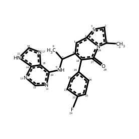 Cc1csc2cc(C(C)Nc3ncnc4[nH]cnc34)c(-c3ccc(F)cc3)c(=O)n12